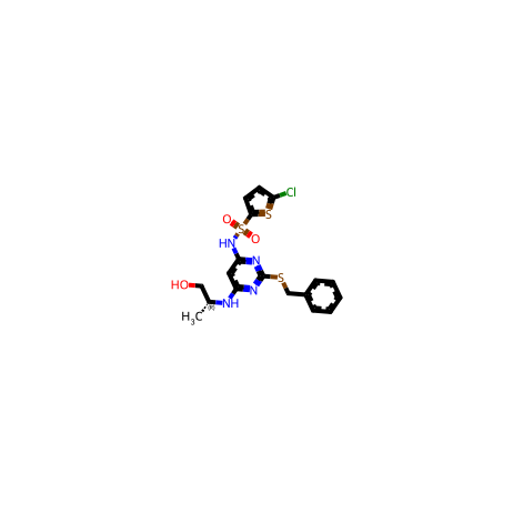 C[C@H](CO)Nc1cc(NS(=O)(=O)c2ccc(Cl)s2)nc(SCc2ccccc2)n1